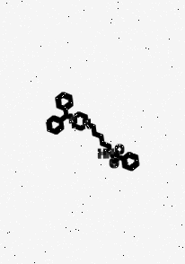 O=S(=O)(NCCCCCN1CCN(C(c2ccccc2)c2ccccc2)CC1)c1ccccc1